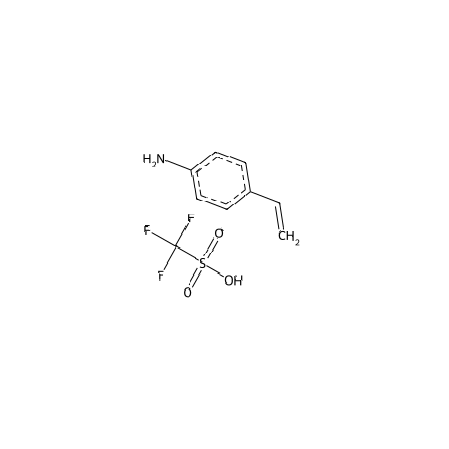 C=Cc1ccc(N)cc1.O=S(=O)(O)C(F)(F)F